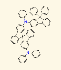 c1ccc(N(c2ccccc2)c2ccc3c(c2)-c2ccccc2C32c3ccccc3-c3ccc(N(c4ccccc4)c4ccc5c(c4)C(c4ccccc4)(c4ccccc4)c4ccccc4-5)cc32)cc1